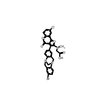 CN(CC(=O)O)c1oc2c(c1-c1ccc3c(c1)CN1CN3Cc3cc(Br)ccc31)c(=O)oc1ccc(Cl)cc12